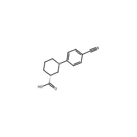 N#Cc1ccc(N2CCC[C@@H](C(=O)O)C2)cc1